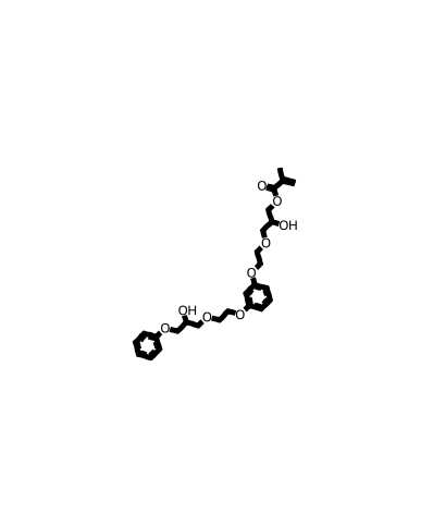 C=C(C)C(=O)OCC(O)COCCOc1cccc(OCCOCC(O)COc2ccccc2)c1